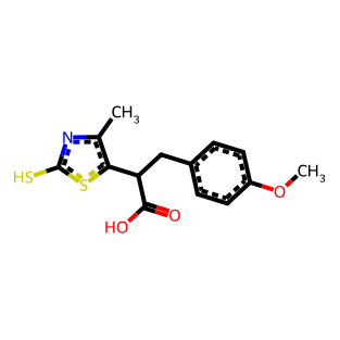 COc1ccc(CC(C(=O)O)c2sc(S)nc2C)cc1